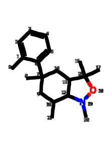 Cc1ccccc1C1(C)CC(C)C2C(C1)C(C)(C)ON2C